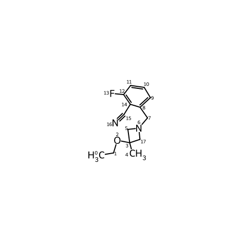 CCOC1(C)CN(Cc2cccc(F)c2C#N)C1